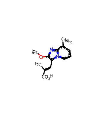 COc1cccn2c(/C=C(\C#N)C(=O)O)c(OC(C)C)nc12